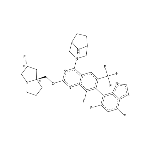 Fc1cc(F)c2scnc2c1-c1c(C(F)(F)F)cc2c(N3CC4CCC(C3)N4)nc(OC[C@@]34CCCN3C[C@H](F)C4)nc2c1F